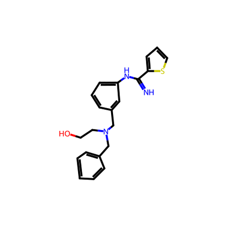 N=C(Nc1cccc(CN(CCO)Cc2ccccc2)c1)c1cccs1